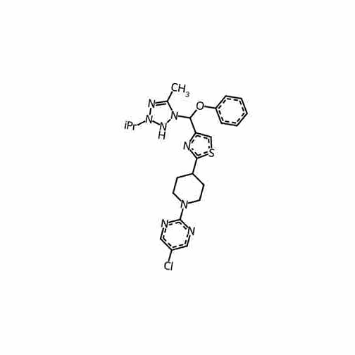 CC1=NN(C(C)C)NN1C(Oc1ccccc1)c1csc(C2CCN(c3ncc(Cl)cn3)CC2)n1